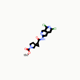 CC(C)(C)OC(=O)N1CCC2(CC2C(=O)Nc2cc3cc(Cl)nc(Cl)c3cn2)C1